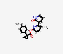 COC1=CCC(C2(C(=O)Oc3ccc(C)c(-c4ccc[nH]c4=O)n3)CC2)C=C1